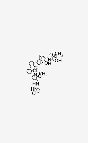 COC(=O)[C@@H](CO)NCc1cnc2cc(-c3cccc(-c4cccc(-c5ccc(CNC[C@@H]6CCC(=O)N6)c(OC)n5)c4Cl)c3Cl)ccn2c1=O